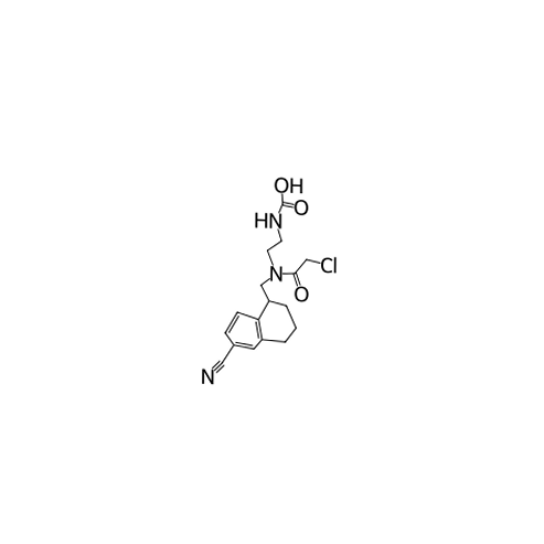 N#Cc1ccc2c(c1)CCCC2CN(CCNC(=O)O)C(=O)CCl